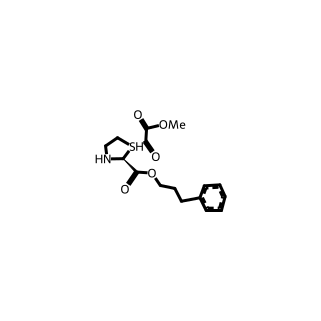 COC(=O)C(=O)[SH]1CCN[C@@H]1C(=O)OCCCc1ccccc1